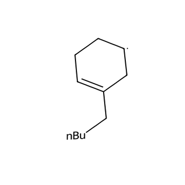 CCCCCC1=CCC[CH]C1